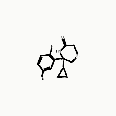 O=C1COC[C@@](c2cc(Br)ccc2F)(C2CC2)N1